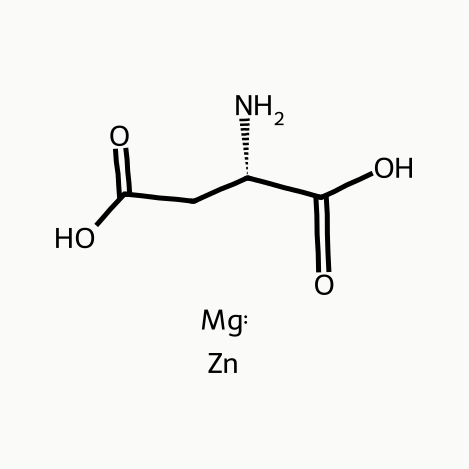 N[C@@H](CC(=O)O)C(=O)O.[Mg].[Zn]